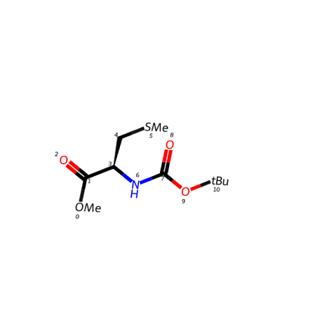 COC(=O)[C@@H](CSC)NC(=O)OC(C)(C)C